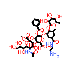 COC(=O)C1(OC2C(O)C(CO)OC(OC3CC(C(=O)NCCN)CC(C)C3OC3OC(C)C(O)C(O)C3O)C2OC(=O)c2ccccc2)CC(O)C(NC(C)=O)C([C@H](O)[C@H](O)CO)O1